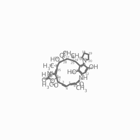 CO[C@H]1/C=C\C=C(/C)C(=O)Nc2cc(O)c(N3CCCC3)c(c2O)C[C@@H](C)C[C@H](OC)[C@H](O)[C@@H](C)/C=C(\C)[C@@H]1OC(N)=O